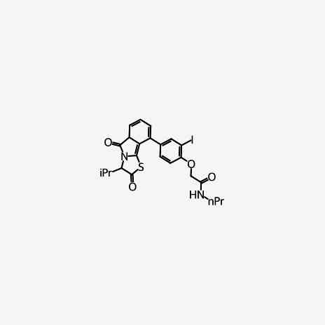 CCCNC(=O)COc1ccc(C2=CC=CC3C(=O)N4C(=C23)SC(=O)C4C(C)C)cc1I